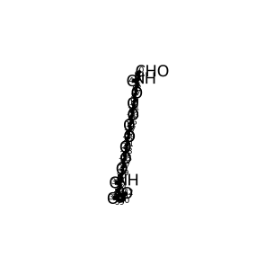 O=CCNC(=O)CCOCCOCCOCCOCCOCCOCCOCCOCCNC(=O)CCN1C(=O)C=CC1=O